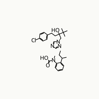 CC(C)(C)C(O)(CCc1ccc(Cl)cc1)Cn1cncn1.CCC(C)c1ccccc1N(C)C(=O)O